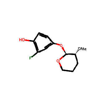 CO[C@@H]1CCCO[C@H]1Oc1ccc(O)c(F)c1